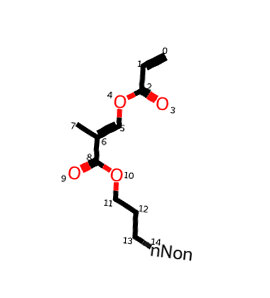 C=CC(=O)OC=C(C)C(=O)OCCCCCCCCCCCC